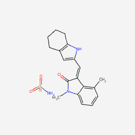 Cc1cccc2c1C(=Cc1cc3c([nH]1)CCCC3)C(=O)N2C.N[SH](=O)=O